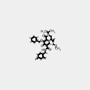 COC[C@@H]1C[C@]12CN(C(C)C)C(=O)c1c(OCc3ccccc3)c(=O)c(C(=O)NCc3ccc(F)cc3F)cn12